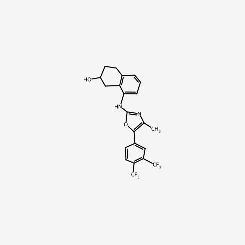 Cc1nc(Nc2cccc3c2CC(O)CC3)oc1-c1ccc(C(F)(F)F)c(C(F)(F)F)c1